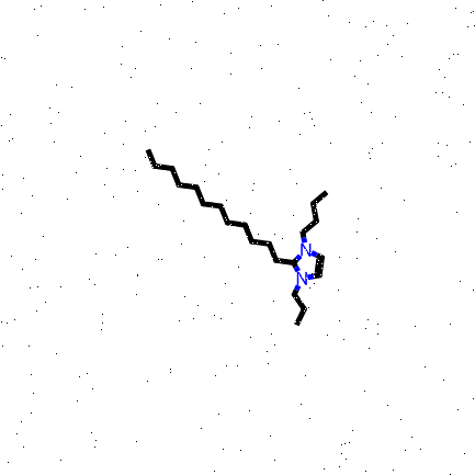 CCCCCCCCCCCCC1N(CCC)C=CN1CCCC